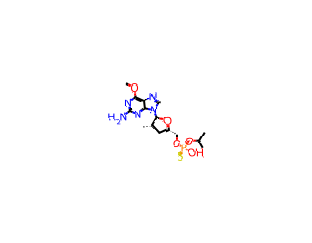 COc1nc(N)nc2c1ncn2C1O[C@H](COP(O)(=S)OC(C)C)C[C@@H]1C